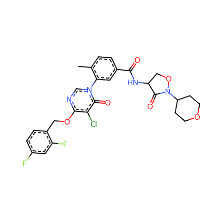 Cc1ccc(C(=O)NC2CON(C3CCOCC3)C2=O)cc1-n1cnc(OCc2ccc(F)cc2F)c(Cl)c1=O